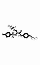 CCOC(=O)Cc1ccc(NC(=O)[C@H](COS(C)(=O)=O)NS(=O)(=O)c2ccc(F)cc2)cc1